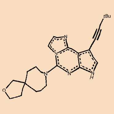 CC(C)(C)C#Cc1c[nH]c2nc(N3CCC4(CCOC4)CC3)n3ccnc3c12